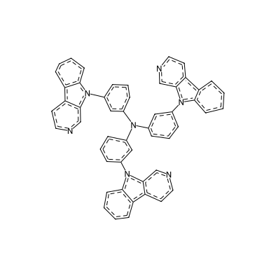 c1cc(N(c2cccc(-n3c4ccccc4c4ccncc43)c2)c2cccc(-n3c4ccccc4c4ccncc43)c2)cc(-n2c3ccccc3c3ccncc32)c1